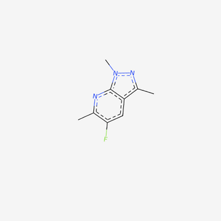 Cc1nc2c(cc1F)c(C)nn2C